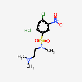 CN(C)CCN(C)S(=O)(=O)c1ccc(Cl)c([N+](=O)[O-])c1.Cl